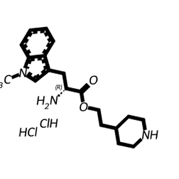 Cl.Cl.Cn1cc(C[C@@H](N)C(=O)OCCC2CCNCC2)c2ccccc21